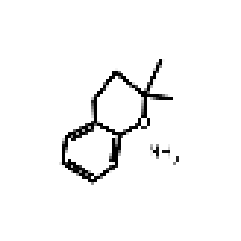 CC1(C)CCc2ccccc2O1.N